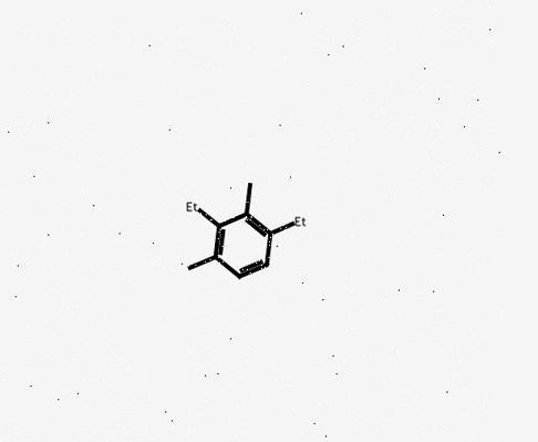 CCc1c[c]c(C)c(CC)c1C